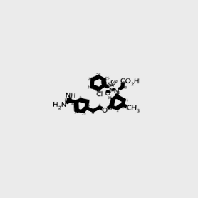 Cc1cc(OCCc2ccc(C(=N)N)cc2)cc(N(CC(=O)O)S(=O)(=O)c2ccccc2Cl)c1